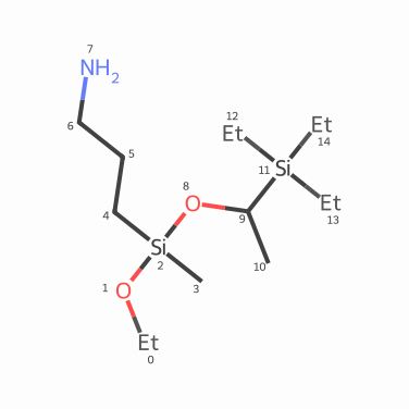 CCO[Si](C)(CCCN)OC(C)[Si](CC)(CC)CC